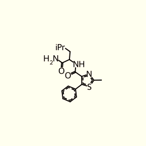 Cc1nc(C(=O)NC(CC(C)C)C(N)=O)c(-c2ccccc2)s1